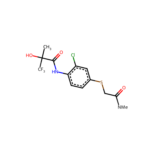 CNC(=O)CSc1ccc(NC(=O)C(C)(O)C(F)(F)F)c(Cl)c1